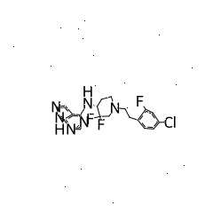 Fc1cc(Cl)ccc1CCN1CC[C@@H](Nc2ncnc3[nH]ncc23)C(F)(F)C1